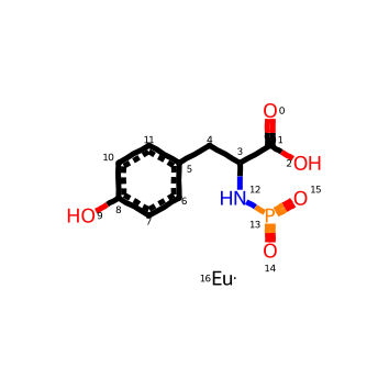 O=C(O)C(Cc1ccc(O)cc1)NP(=O)=O.[Eu]